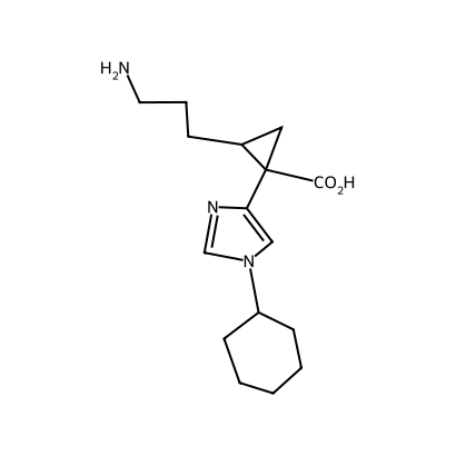 NCCCC1CC1(C(=O)O)c1cn(C2CCCCC2)cn1